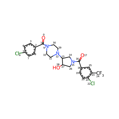 O=C(c1ccc(Cl)cc1)N1CCN(C2CN(C(=O)c3ccc(Cl)c(C(F)(F)F)c3)CC2O)CC1